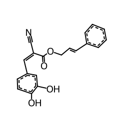 N#CC(=Cc1ccc(O)c(O)c1)C(=O)OC/C=C/c1ccccc1